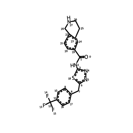 O=C(Nc1nnc(Cc2ccc(C(F)(F)F)cc2)s1)c1ccc2c(c1)CCNC2